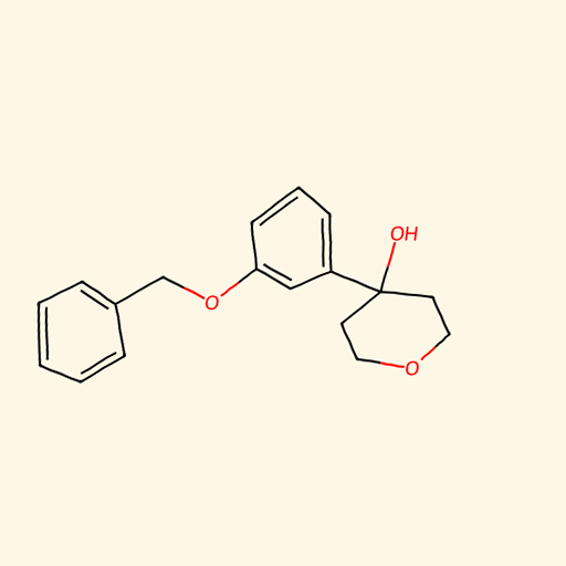 OC1(c2cccc(OCc3ccccc3)c2)CCOCC1